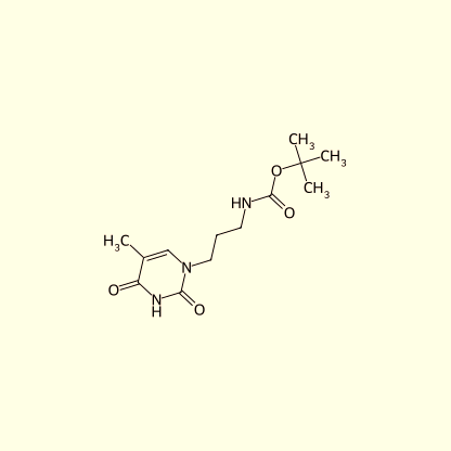 Cc1cn(CCCNC(=O)OC(C)(C)C)c(=O)[nH]c1=O